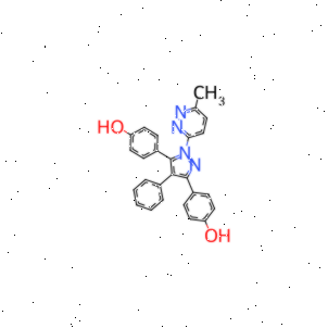 Cc1ccc(-n2nc(-c3ccc(O)cc3)c(-c3ccccc3)c2-c2ccc(O)cc2)nn1